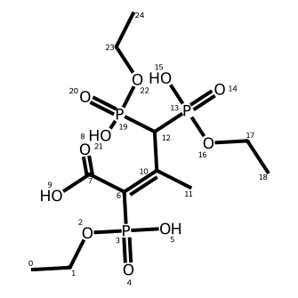 CCOP(=O)(O)C(C(=O)O)=C(C)C(P(=O)(O)OCC)P(=O)(O)OCC